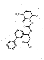 CN1C=CC(=O)C(NC(=O)NC(CC(=O)O)c2cccc(-c3cnccn3)c2)C1=O